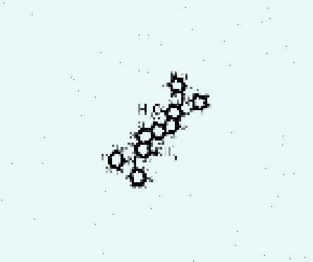 Cc1cc(N(c2ccccc2)c2ccccc2)cc2ccc3cc4c(ccc5cc(N(c6ccccc6)c6ccccc6)cc(C)c54)cc3c12